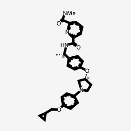 CNC(=O)c1cccc(C(=O)N[C@@H](C)c2ccc(O[C@@H]3CCN(c4ccc(OCC5CC5)cc4)C3)cc2)n1